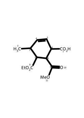 CCOC(=O)C1C(C)C=CC(C(=O)O)C1C(=O)OC